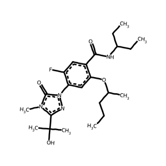 CCCC(C)Oc1cc(-n2nc(C(C)(C)O)n(C)c2=O)c(F)cc1C(=O)NC(CC)CC